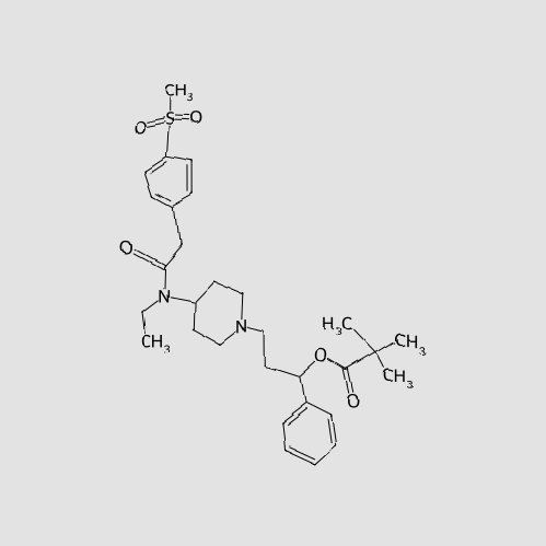 CCN(C(=O)Cc1ccc(S(C)(=O)=O)cc1)C1CCN(CCC(OC(=O)C(C)(C)C)c2ccccc2)CC1